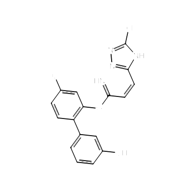 N=C(/C=C\c1nnc(Cl)[nH]1)Oc1cc(C(F)(F)F)ccc1-c1cccc(O)c1